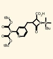 CC(C)(C)OC(=O)N(C(=O)OC(C)(C)C)c1cc(CC2C(=O)N([Si](C)(C)C(C)(C)C)C2C(=O)O)ccn1